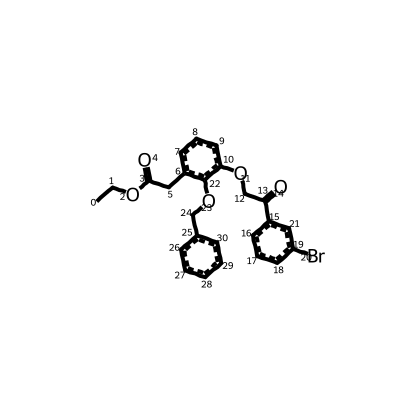 CCOC(=O)Cc1cccc(OCC(=O)c2cccc(Br)c2)c1OCc1ccccc1